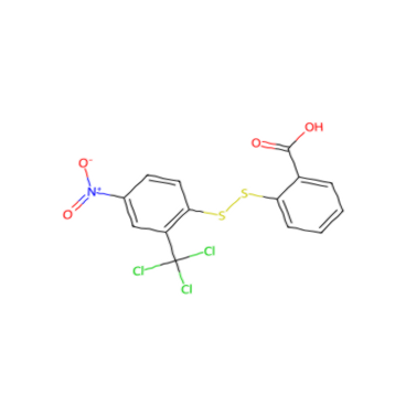 O=C(O)c1ccccc1SSc1ccc([N+](=O)[O-])cc1C(Cl)(Cl)Cl